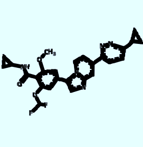 COc1cc(-c2cnc3cc(-c4ccc(C5CC5)nn4)ccn23)cc(OC(F)F)c1C(=O)NC1CC1